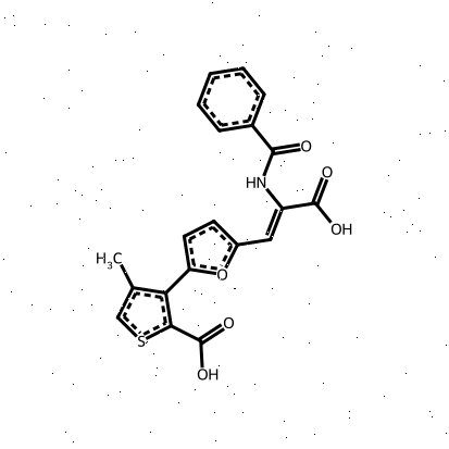 Cc1csc(C(=O)O)c1-c1ccc(/C=C(\NC(=O)c2ccccc2)C(=O)O)o1